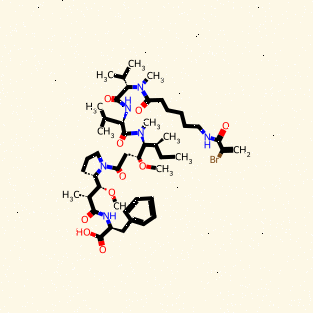 C=C(Br)C(=O)NCCCCCC(=O)N(C)[C@H](C(=O)N[C@@H](C(=O)N(C)[C@@H]([C@@H](C)CC)[C@@H](CC(=O)N1CCC[C@H]1[C@H](OC)[C@@H](C)C(=O)N[C@@H](Cc1ccccc1)C(=O)O)OC)C(C)C)C(C)C